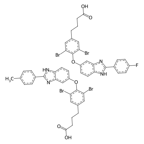 Cc1ccc(-c2nc3cc(Oc4c(Br)cc(CCCC(=O)O)cc4Br)ccc3[nH]2)cc1.O=C(O)CCCc1cc(Br)c(Oc2ccc3[nH]c(-c4ccc(F)cc4)nc3c2)c(Br)c1